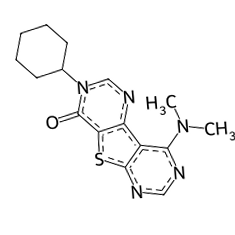 CN(C)c1ncnc2sc3c(=O)n(C4CCCCC4)cnc3c12